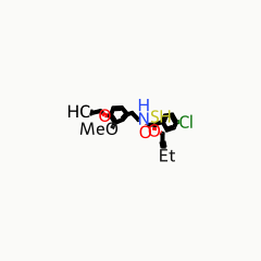 C#CCOc1ccc(CCNC(=O)C(S)(OCC#CCC)c2ccc(Cl)cc2)cc1OC